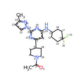 CC(=O)N1CCC(c2cc(NC3CCC(F)(F)CC3)nc(-n3ccc(C)n3)n2)CC1